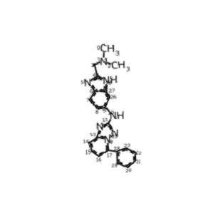 CN(C)Cc1nc2ccc(Nc3nc4cccc(-c5ccccc5)n4n3)cc2[nH]1